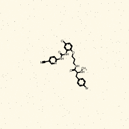 CNC(Cc1ccc(Br)cc1)C(=O)NCCCOc1ccc(Cl)cc1NC(=O)Nc1ccc(C#N)cn1